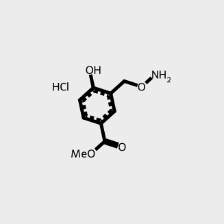 COC(=O)c1ccc(O)c(CON)c1.Cl